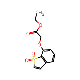 CCOC(=O)COc1cccc2c1S(=O)(=O)C=C2